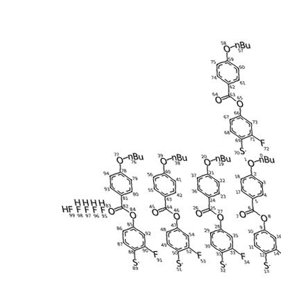 CCCCOc1ccc(C(=O)Oc2ccc([S])c(F)c2)cc1.CCCCOc1ccc(C(=O)Oc2ccc([S])c(F)c2)cc1.CCCCOc1ccc(C(=O)Oc2ccc([S])c(F)c2)cc1.CCCCOc1ccc(C(=O)Oc2ccc([S])c(F)c2)cc1.CCCCOc1ccc(C(=O)Oc2ccc([S])c(F)c2)cc1.F.F.F.F.F